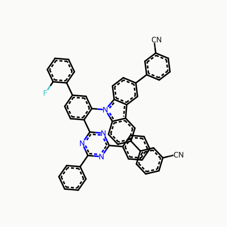 N#Cc1cccc(-c2ccc3c(c2)c2cc(-c4cccc(C#N)c4)ccc2n3-c2cc(-c3ccccc3F)ccc2-c2nc(-c3ccccc3)nc(-c3ccccc3)n2)c1